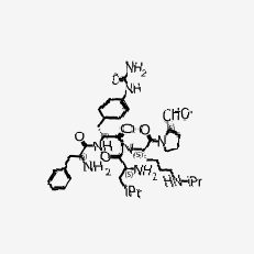 CC(C)C[C@H](N)C(=O)N(C(=O)[C@@H](Cc1ccc(NC(N)=O)cc1)NC(=O)[C@@H](N)Cc1ccccc1)[C@@H](CCCCNC(C)C)C(=O)N1CCC[C@H]1[C]=O